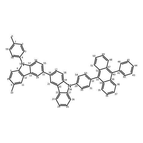 Cc1ccc(-n2c3ccc(C)cc3c3cc(-c4ccc5c(c4)c4ccccc4n5-c4ccc(-c5c6ccccc6c(-c6ccccc6)c6ccccc56)cc4)ccc32)cc1